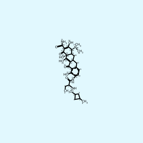 CCC(NOC1CC(C)C1)C(=O)Nc1ccc2c(c1O)C(=O)C1=C(O)[C@]3(O)C(=O)C(C(N)=O)=C(O)[C@@H](N(C)C)C3CC1C2